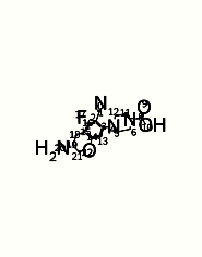 N#Cc1c(N2CCN(C(=O)O)CC2)cc2c(c1F)C[C@@H](N)CO2